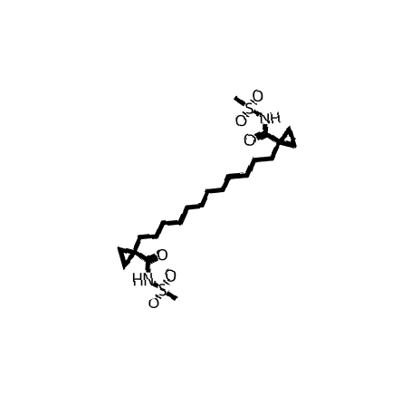 CS(=O)(=O)NC(=O)C1(CCCCCCCCCCCCC2(C(=O)NS(C)(=O)=O)CC2)CC1